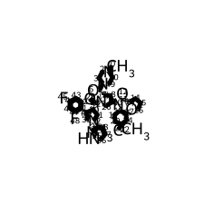 CN1CCN(C(=O)[C@@H]2C[C@H](N(C(=O)[C@@H]3CCCO3)C3CCC(C)(C)CC3)CN2C(=O)[C@@H]2CN(C3=NNCC=C3)C[C@H]2c2ccc(F)cc2F)CC1